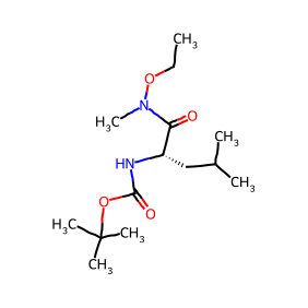 CCON(C)C(=O)[C@H](CC(C)C)NC(=O)OC(C)(C)C